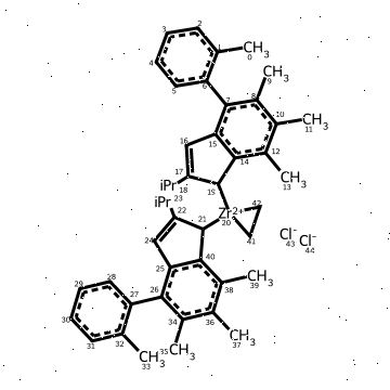 Cc1ccccc1-c1c(C)c(C)c(C)c2c1C=C(C(C)C)[CH]2[Zr+2]1([CH]2C(C(C)C)=Cc3c(-c4ccccc4C)c(C)c(C)c(C)c32)[CH2][CH2]1.[Cl-].[Cl-]